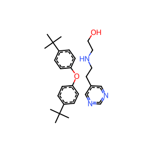 CC(C)(C)c1ccc(Oc2ccc(C(C)(C)C)cc2)cc1.OCCNCCc1cncnc1